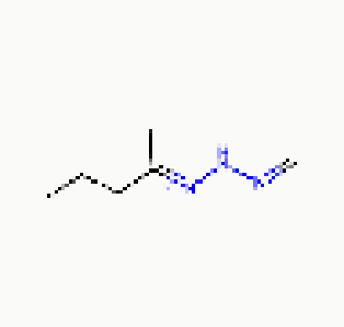 C=NN/N=C(\C)CCC